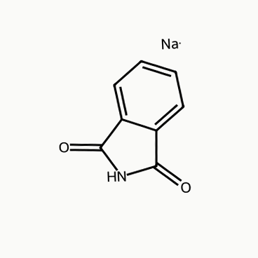 O=C1NC(=O)c2ccccc21.[Na]